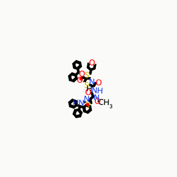 CON=C(C(=O)NC1C(=O)N2CC(SCC3CCOCC3)(C(=O)OC(c3ccccc3)c3ccccc3)CS[C@H]12)c1csc(NC(c2ccccc2)(c2ccccc2)c2ccccc2)n1